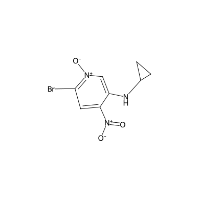 O=[N+]([O-])c1cc(Br)[n+]([O-])cc1NC1CC1